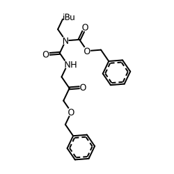 CCC(C)CN(C(=O)NCC(=O)COCc1ccccc1)C(=O)OCc1ccccc1